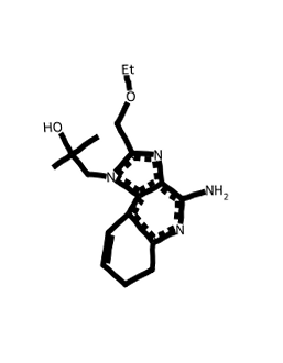 CCOCc1nc2c(N)nc3c(c2n1CC(C)(C)O)C=CCC3